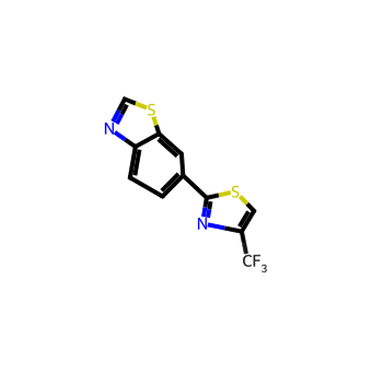 FC(F)(F)c1csc(-c2ccc3ncsc3c2)n1